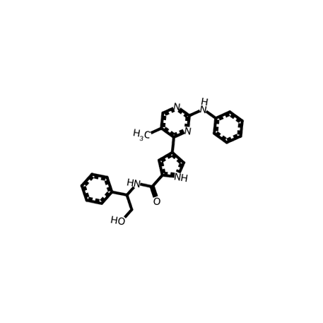 Cc1cnc(Nc2ccccc2)nc1-c1c[nH]c(C(=O)NC(CO)c2ccccc2)c1